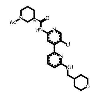 CC(=O)N1CCC[C@@H](C(=O)Nc2cc(-c3cccc(NCC4CCOCC4)n3)c(Cl)cn2)C1